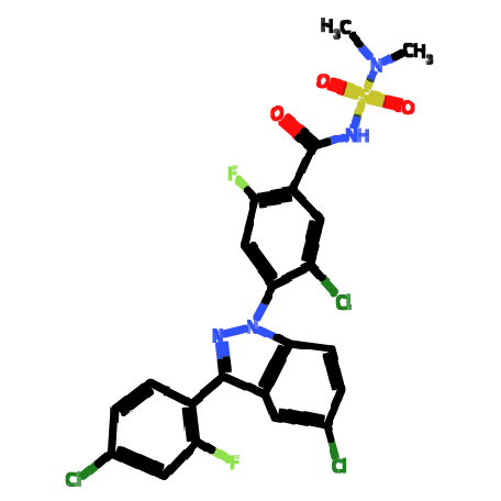 CN(C)S(=O)(=O)NC(=O)c1cc(Cl)c(-n2nc(-c3ccc(Cl)cc3F)c3cc(Cl)ccc32)cc1F